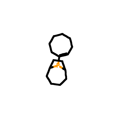 C1=C(P2C3CCCCC2CC3)CCCCCC1